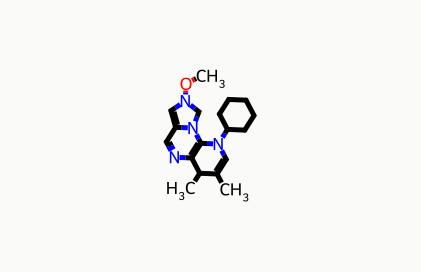 CON1C=C2C=NC3=C(N2C1)N(C1CCCCC1)C=C(C)C3C